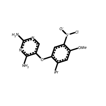 COc1cc(C(C)C)c(Oc2cnc(N)nc2N)cc1[S+]([O-])Cl